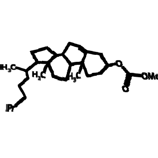 COC(=O)OC1CCC2(C)C(=CCC3C2CCC2(C)C(C(C)CCCC(C)C)CCC32)C1